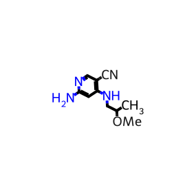 COC(C)CNc1cc(N)ncc1C#N